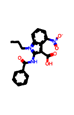 CCCn1c(NC(=O)c2ccccc2)c(C(=O)O)c2c([N+](=O)[O-])cccc21